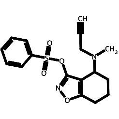 C#CCN(C)C1CCCc2onc(OS(=O)(=O)c3ccccc3)c21